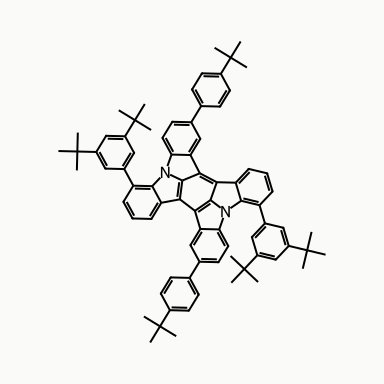 CC(C)(C)c1ccc(-c2ccc3c(c2)c2c4c5cccc(-c6cc(C(C)(C)C)cc(C(C)(C)C)c6)c5n5c6ccc(-c7ccc(C(C)(C)C)cc7)cc6c(c6c7cccc(-c8cc(C(C)(C)C)cc(C(C)(C)C)c8)c7n3c26)c45)cc1